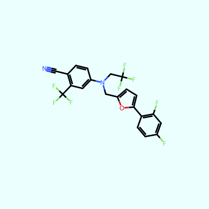 N#Cc1ccc(N(Cc2ccc(-c3ccc(F)cc3F)o2)CC(F)(F)F)cc1C(F)(F)F